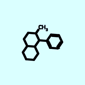 CC1CCC2CCCCC2C1c1c[c]ccc1